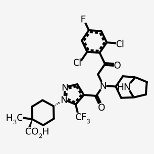 C[C@]1(C(=O)O)CC[C@H](n2ncc(C(=O)N(CC(=O)c3c(Cl)cc(F)cc3Cl)C3CC4CCC(C3)N4)c2C(F)(F)F)CC1